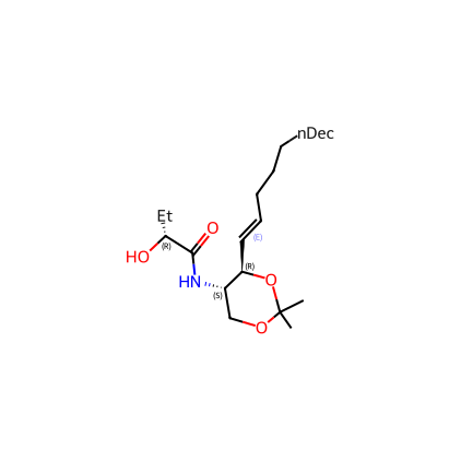 CCCCCCCCCCCCC/C=C/[C@H]1OC(C)(C)OC[C@@H]1NC(=O)[C@H](O)CC